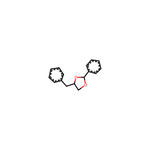 [c]1ccccc1C1OCC(Cc2ccccc2)O1